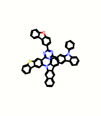 c1ccc(-n2c3ccccc3c3ccc(-c4nc(-c5ccc6oc7ccccc7c6c5)nc(-c5cc6sc7ccccc7c6cc5-n5c6ccccc6c6cc7ccccc7cc65)n4)cc32)cc1